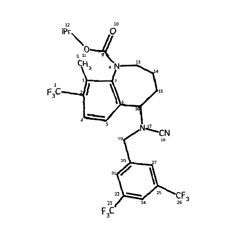 Cc1c(C(F)(F)F)ccc2c1N(C(=O)OC(C)C)CCCC2N(C#N)Cc1cc(C(F)(F)F)cc(C(F)(F)F)c1